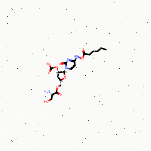 CCCCCC(=O)ONc1ccn([C@@H]2O[C@H](COC(=O)[C@@H](N)CO)C[C@H]2OC(=O)O)c(=O)n1